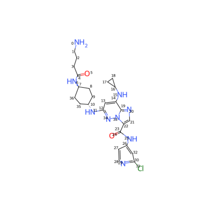 NCCCC(=O)N[C@H]1CC[C@H](Nc2cc(NC3CC3)c3ncc(C(=O)Nc4ccnc(Cl)c4)n3n2)CC1